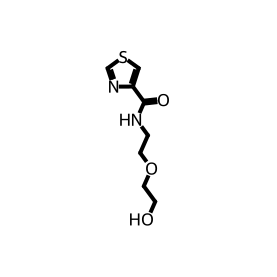 O=C(NCCOCCO)c1cscn1